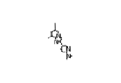 Cc1cc(I)cn2cc(-c3ccc(N(C)C)nc3)nc12